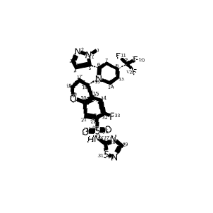 Cn1nccc1[C@@H]1C[C@H](C(F)(F)F)CCN1[C@H]1CCOc2cc(S(=O)(=O)Nc3ncns3)c(F)cc21